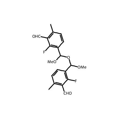 COC(OC(OC)c1ccc(C)c(C=O)c1F)c1ccc(C)c(C=O)c1F